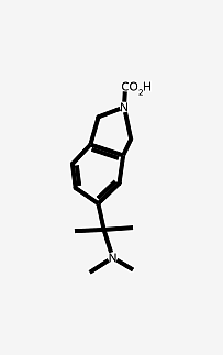 CN(C)C(C)(C)c1ccc2c(c1)CN(C(=O)O)C2